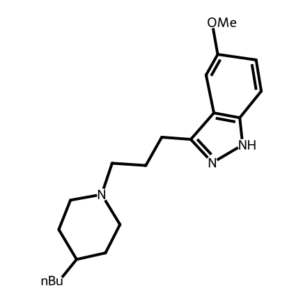 CCCCC1CCN(CCCc2n[nH]c3ccc(OC)cc23)CC1